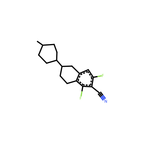 CC1CCC(C2CCc3c(cc(F)c(C#N)c3F)C2)CC1